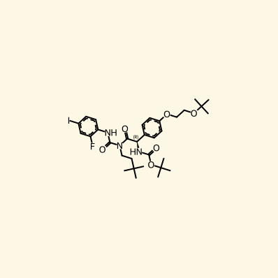 CC(C)(C)CCN(C(=O)Nc1ccc(I)cc1F)C(=O)[C@H](NC(=O)OC(C)(C)C)c1ccc(OCCOC(C)(C)C)cc1